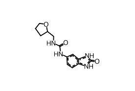 O=C(NCC1CCCO1)Nc1ccc2[nH]c(=O)[nH]c2c1